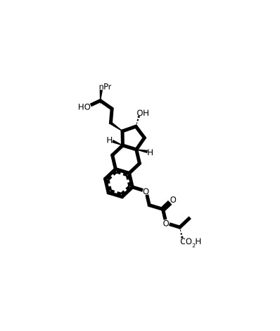 CCC[C@H](O)CC[C@@H]1[C@H]2Cc3cccc(OCC(=O)O[C@H](C)C(=O)O)c3C[C@H]2C[C@H]1O